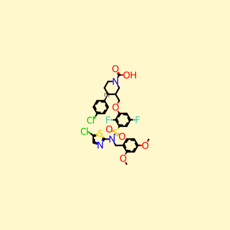 COc1ccc(CN(c2ncc(Cl)s2)S(=O)(=O)c2cc(F)cc(OCC3CN(C(=O)O)CC[C@@H]3c3ccc(Cl)cc3)c2F)c(OC)c1